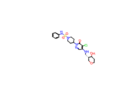 O=c1c(Cl)c(NC[C@H]2COCC[C@@H]2O)cnn1C1CCN(S(=O)(=O)Nc2ccccc2)CC1